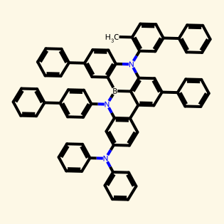 Cc1ccc(-c2ccccc2)cc1N1c2ccc(-c3ccccc3)cc2B2c3c(cc(-c4ccccc4)cc31)-c1ccc(N(c3ccccc3)c3ccccc3)cc1N2c1ccc(-c2ccccc2)cc1